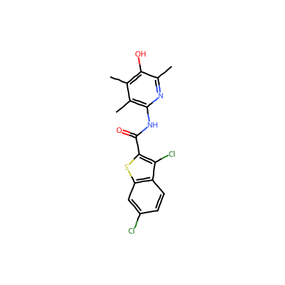 Cc1nc(NC(=O)c2sc3cc(Cl)ccc3c2Cl)c(C)c(C)c1O